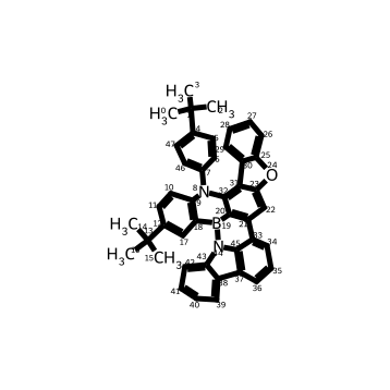 CC(C)(C)c1ccc(N2c3ccc(C(C)(C)C)cc3B3c4c(cc5oc6ccccc6c5c42)-c2cccc4c5ccccc5n3c24)cc1